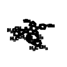 CC(C)(C)c1ccc(N2c3ccc(C(C)(C)C)cc3B3c4sc5cc6c(cc5c4N4c5ccc(C(C)(C)C)cc5-c5ccc7c(c5)C(C)(C)CCC7(C)Cc5cc2c3c4c5)C(C)(C)CCC6(C)C)cc1